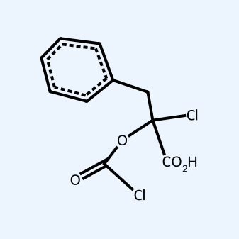 O=C(Cl)OC(Cl)(Cc1ccccc1)C(=O)O